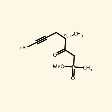 CCCC#CC[C@H](C)C(=O)CP(C)(=O)OC